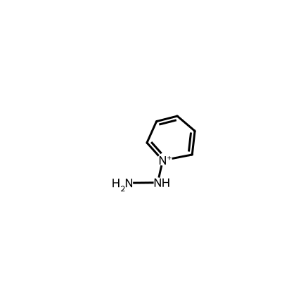 NN[n+]1ccccc1